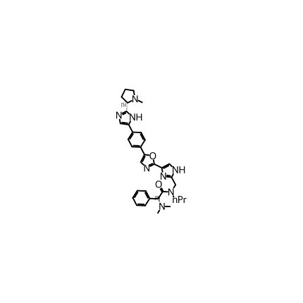 CCCN(Cc1nc(-c2ncc(-c3ccc(-c4cnc([C@@H]5CCCN5C)[nH]4)cc3)o2)c[nH]1)C(=O)[C@@H](c1ccccc1)N(C)C